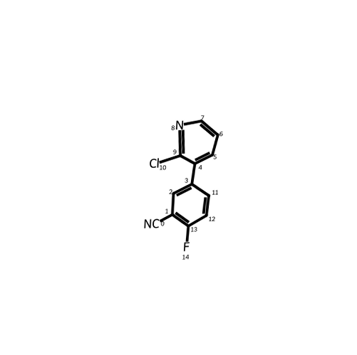 N#Cc1cc(-c2cccnc2Cl)ccc1F